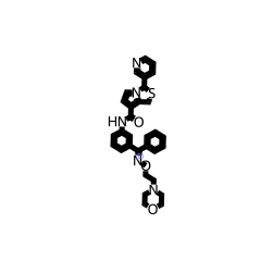 O=C(Nc1cccc(/C(=N/OCCN2CCOCC2)c2ccccc2)c1)c1ccn2c1CSC2c1cccnc1